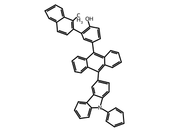 Cc1c(-c2cc(-c3c4ccccc4c(-c4ccc5c(c4)c4ccccc4n5-c4ccccc4)c4ccccc34)ccc2O)ccc2ccccc12